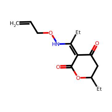 C=CCONC(CC)=C1C(=O)CC(CC)OC1=O